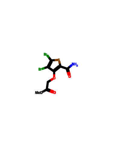 COC(=O)COc1c(C(N)=O)sc(Br)c1Br